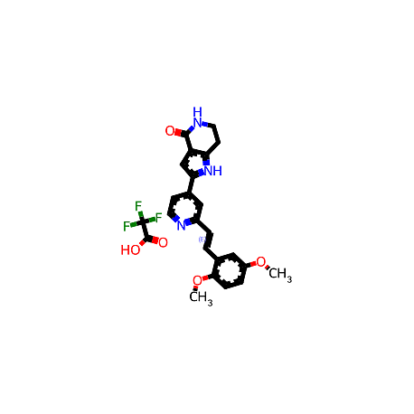 COc1ccc(OC)c(/C=C/c2cc(-c3cc4c([nH]3)CCNC4=O)ccn2)c1.O=C(O)C(F)(F)F